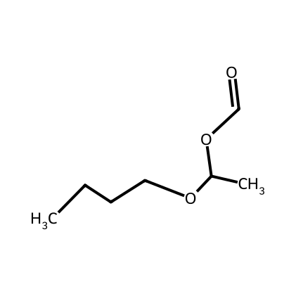 CCCCOC(C)OC=O